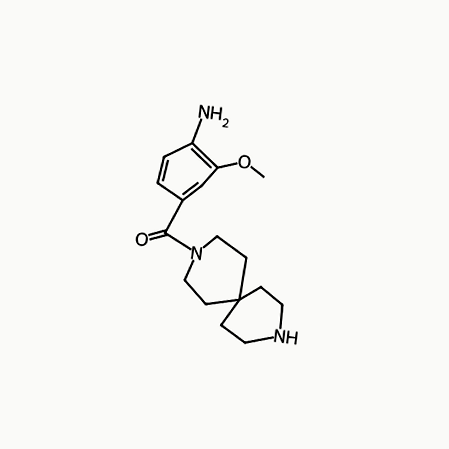 COc1cc(C(=O)N2CCC3(CCNCC3)CC2)ccc1N